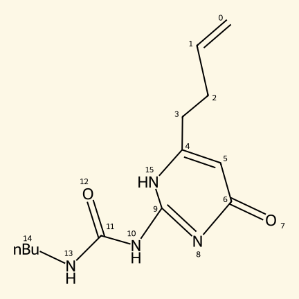 C=CCCc1cc(=O)nc(NC(=O)NCCCC)[nH]1